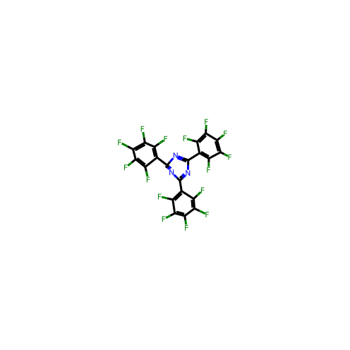 Fc1c(F)c(F)c(-c2nc(-c3c(F)c(F)c(F)c(F)c3F)nc(-c3c(F)c(F)c(F)c(F)c3F)n2)c(F)c1F